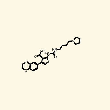 NC(=O)c1c(-c2ccc3c(c2)OCCO3)csc1NC(=O)NCCCCN1CCCC1